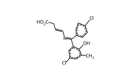 Cc1cc(Cl)cc(C(=NC=CCC(=O)O)c2ccc(Cl)cc2)c1O